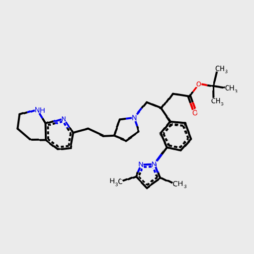 Cc1cc(C)n(-c2cccc(C(CC(=O)OC(C)(C)C)CN3CCC(CCc4ccc5c(n4)NCCC5)C3)c2)n1